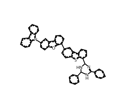 c1ccc(C2=NC(c3cccc4c3sc3ccc(-c5cccc6c5oc5ccc(-n7c8ccccc8c8ccccc87)cc56)cc34)NC(c3ccccc3)N2)cc1